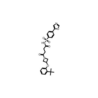 CC(C)(C)c1ccccc1OC1CN(C(=O)CCC(=O)NS(=O)(=O)c2ccc(-c3cnco3)cc2)C1